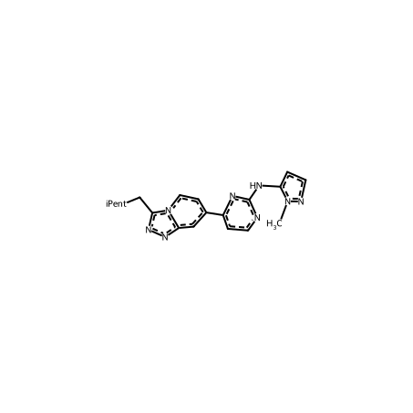 CCCC(C)Cc1nnc2cc(-c3ccnc(Nc4ccnn4C)n3)ccn12